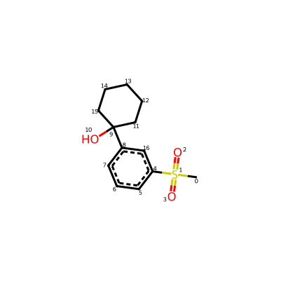 CS(=O)(=O)c1cccc(C2(O)CCCCC2)c1